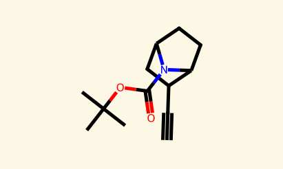 C#CC1CC2CCC1N2C(=O)OC(C)(C)C